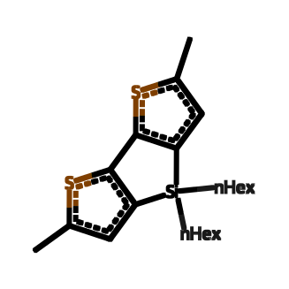 CCCCCC[Si]1(CCCCCC)c2cc(C)sc2-c2sc(C)cc21